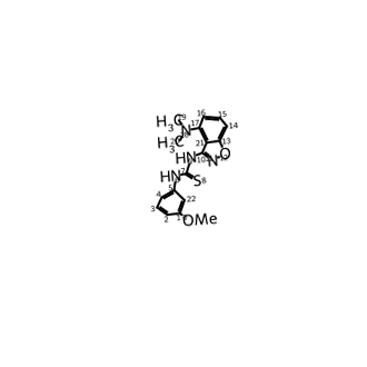 COc1cccc(NC(=S)Nc2noc3cccc(N(C)C)c23)c1